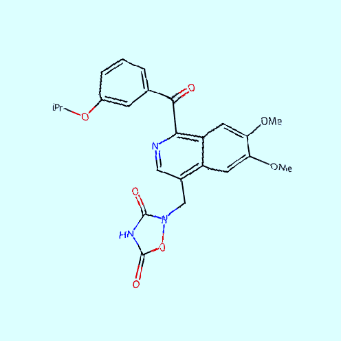 COc1cc2c(Cn3oc(=O)[nH]c3=O)cnc(C(=O)c3cccc(OC(C)C)c3)c2cc1OC